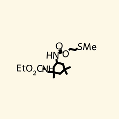 CCOC(=O)NCC1(C)CC(NC(=O)OCCSC)CC(C)(C)C1